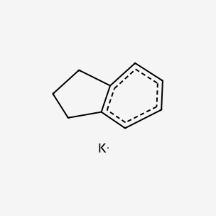 [K].c1ccc2c(c1)CCC2